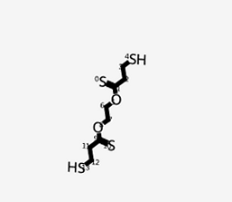 S=C(CCS)OCCOC(=S)CCS